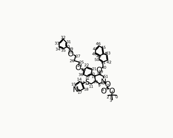 CC(C)(C)OC(=O)ON1CC(CSc2ccncc2)C(c2ccc(OCCCOCc3ccccc3)cc2)C(OCc2ccc3ccccc3c2)C1